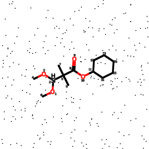 CO[SiH](OC)C(C)(C)C(=O)OC1CCCCC1